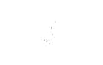 CC[C@H]1CC(C)(C)N(c2nc(-n3ccc(OCC4(C(F)(F)F)CC4)n3)ccc2C(=O)NS(=O)(=O)c2ccccc2C#N)CC1C